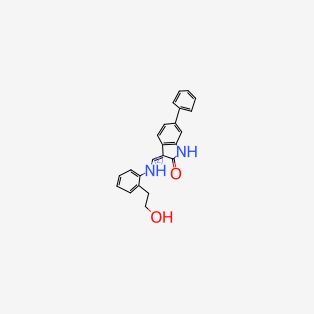 O=C1Nc2cc(-c3ccccc3)ccc2/C1=C/Nc1ccccc1CCO